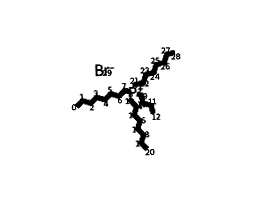 CCCCCCCC[P+](CCCC)(CCCCCCCC)CCCCCCCC.[Br-]